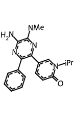 CNc1nc(-c2ccc(=O)n(C(C)C)c2)c(-c2ccccc2)nc1N